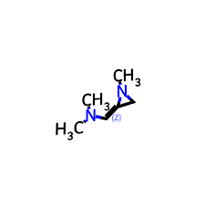 CN(C)/C=C1/CN1C